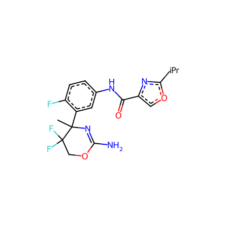 CC(C)c1nc(C(=O)Nc2ccc(F)c(C3(C)N=C(N)OCC3(F)F)c2)co1